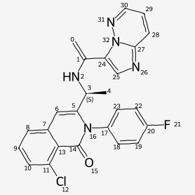 C=C(N[C@@H](C)c1cc2cccc(Cl)c2c(=O)n1-c1ccc(F)cc1)c1cnc2cccnn12